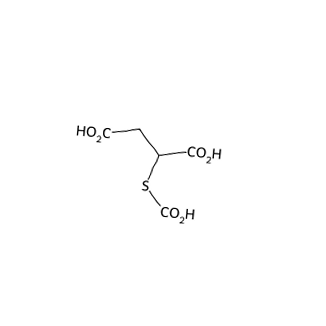 O=C(O)CC(SC(=O)O)C(=O)O